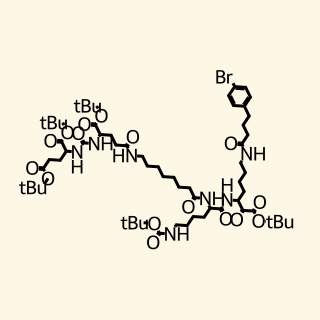 CC(C)(C)OC(=O)CCC(NC(=O)NC(CCC(=O)NCCCCCCCC(=O)NC(CCCCNC(=O)OC(C)(C)C)C(=O)NC(CCCCNC(=O)CCCc1ccc(Br)cc1)C(=O)C(=O)OC(C)(C)C)C(=O)OC(C)(C)C)C(=O)OC(C)(C)C